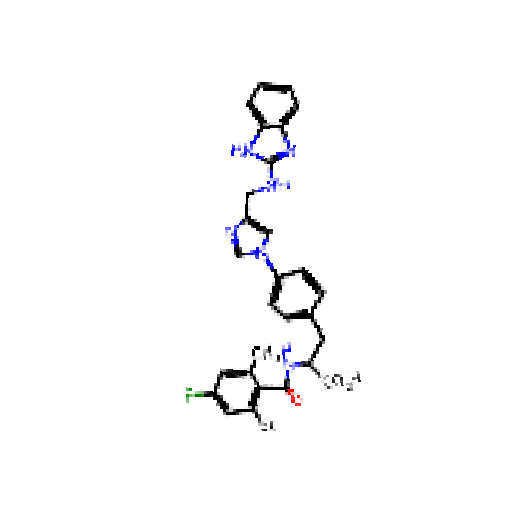 CCc1cc(F)cc(C)c1C(=O)NC(Cc1ccc(-n2cnc(CNc3nc4ccccc4[nH]3)c2)cc1)C(=O)O